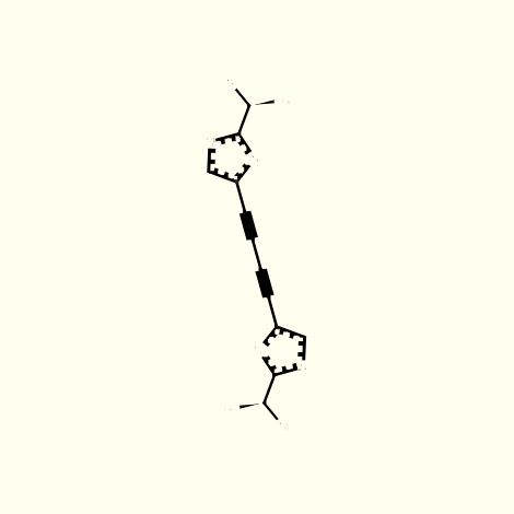 CC(C)(C)[C@H](N)c1ncc(C#CC#Cc2cnc([C@@H](N)C(C)(C)C)[nH]2)[nH]1